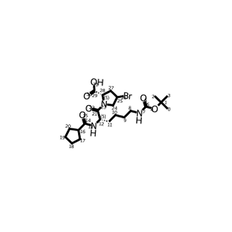 CC(C)(C)OC(=O)NCCCC[C@H](NC(=O)C1CCCC1)C(=O)N1CC(Br)C[C@H]1C(=O)O